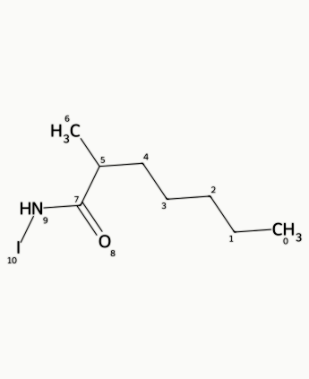 CCCCCC(C)C(=O)NI